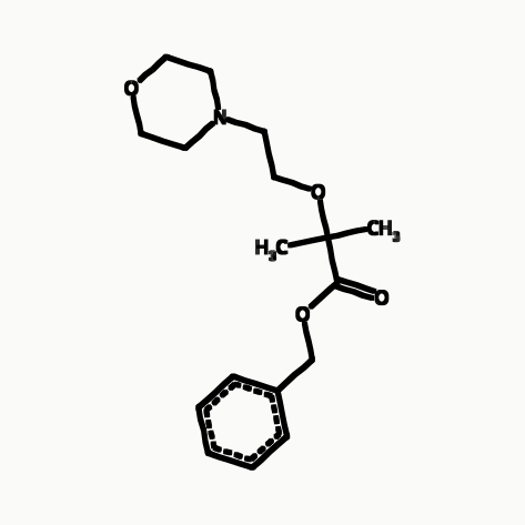 CC(C)(OCCN1CCOCC1)C(=O)OCc1ccccc1